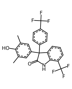 Cc1cc(C2(c3ccc(C(F)(F)F)cc3)C(=O)Nc3c(C(F)(F)F)cccc32)cc(C)c1O